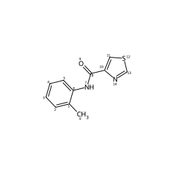 Cc1ccccc1NC(=O)c1cscn1